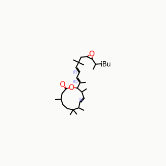 CCC(C)C(C)C1OC1CC(C)(C)/C=C/C=C(\C)C1OC(=O)CC(C)CCC(C)(C)C(C)/C=C/C1C